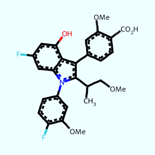 COCC(C)c1c(-c2ccc(C(=O)O)c(OC)c2)c2c(O)cc(F)cc2n1-c1ccc(F)c(OC)c1